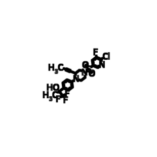 CC#CC1CN(S(=O)(=O)c2cnc(Cl)c(F)c2)CCN1c1ccc(C(C)(O)C(F)(F)F)cc1